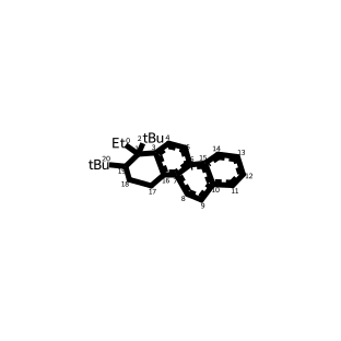 CCC1(C(C)(C)C)c2ccc3c(ccc4ccccc43)c2CCC1C(C)(C)C